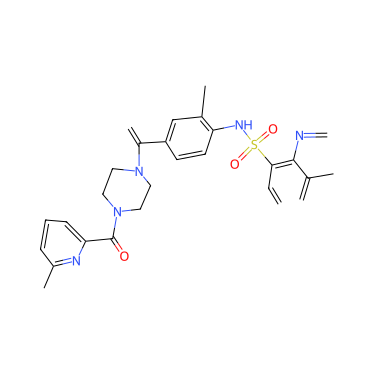 C=C/C(=C(/N=C)C(=C)C)S(=O)(=O)Nc1ccc(C(=C)N2CCN(C(=O)c3cccc(C)n3)CC2)cc1C